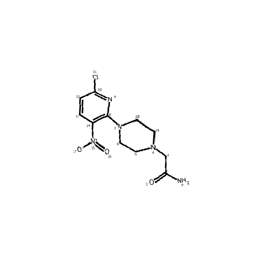 NC(=O)CN1CCN(c2nc(Cl)ccc2[N+](=O)[O-])CC1